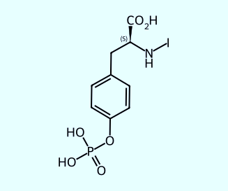 O=C(O)[C@H](Cc1ccc(OP(=O)(O)O)cc1)NI